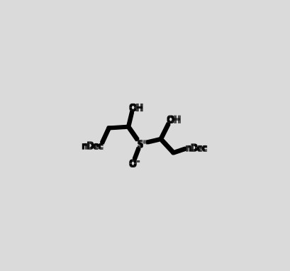 CCCCCCCCCCCC(O)[S+]([O-])C(O)CCCCCCCCCCC